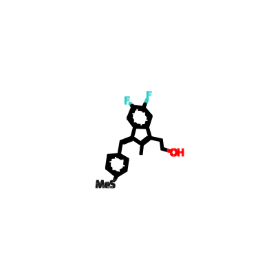 CSc1ccc(C=C2C(C)=C(CCO)c3cc(F)c(F)cc32)cc1